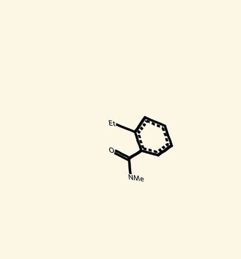 [CH2]Cc1ccccc1C(=O)NC